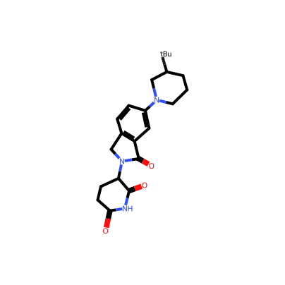 CC(C)(C)C1CCCN(c2ccc3c(c2)C(=O)N(C2CCC(=O)NC2=O)C3)C1